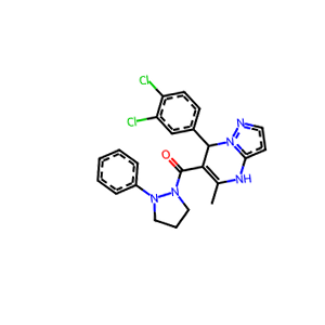 CC1=C(C(=O)N2CCCN2c2ccccc2)C(c2ccc(Cl)c(Cl)c2)n2nccc2N1